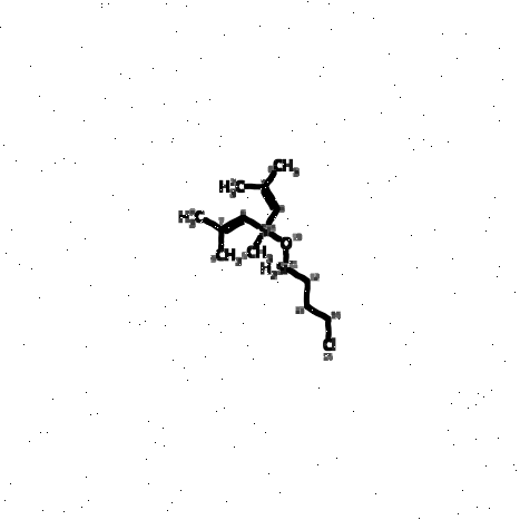 CC(C)=C[Si](C)(C=C(C)C)O[SiH2]CCCCl